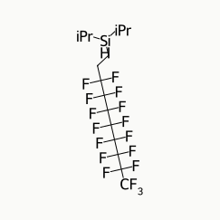 CC(C)[SiH](CCC(F)(F)C(F)(F)C(F)(F)C(F)(F)C(F)(F)C(F)(F)C(F)(F)C(F)(F)F)C(C)C